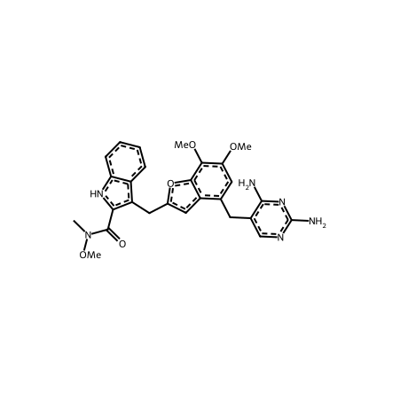 COc1cc(Cc2cnc(N)nc2N)c2cc(Cc3c(C(=O)N(C)OC)[nH]c4ccccc34)oc2c1OC